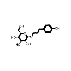 OC[C@H]1O[C@@H](OCCCc2ccc(O)cc2)[C@H](O)[C@@H](O)[C@@H]1O